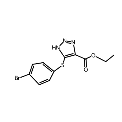 CCOC(=O)c1nn[nH]c1Sc1ccc(Br)cc1